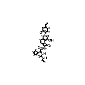 C=CNC(=O)NC(C(=O)N[C@H]1C(=O)N2C(C(=O)O)=C(CSc3ccc(CC)n[n+]3[O-])CSC12)c1cccs1